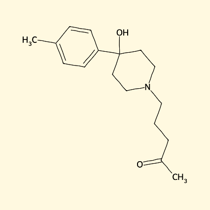 CC(=O)CCCN1CCC(O)(c2ccc(C)cc2)CC1